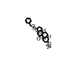 C[C@]12CC[C@@H](O[Si](C)(C)C)C[C@@H]1CC[C@@H]1[C@@H]2C(=O)C[C@]2(C)/C(=N/OCc3ccccc3)CC[C@@H]12